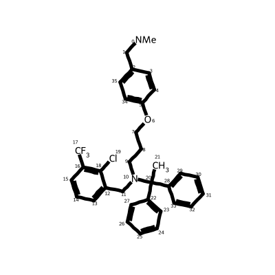 CNCc1ccc(OCCCN(Cc2cccc(C(F)(F)F)c2Cl)C(C)(c2ccccc2)c2ccccc2)cc1